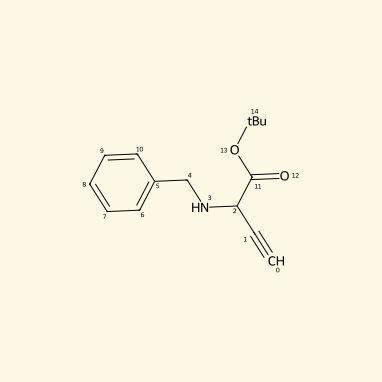 C#CC(NCc1ccccc1)C(=O)OC(C)(C)C